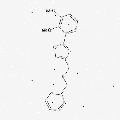 COc1cccc(-c2nc(COCc3ccccn3)co2)c1OC